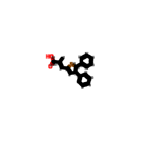 C/C(=C\c1cc(-c2ccccc2)c(-c2ccccc2)s1)C(=O)O